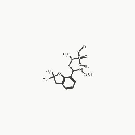 CCOP(=O)(OCC)N(C)SC(NC(=O)O)c1cccc2c1OC(C)(C)C2